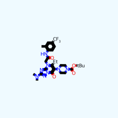 CCc1c(N2CCN(C(=O)OC(C)(C)C)CC2)c(=O)n2nc(N(C)C)nc2n1CC(=O)Nc1ccc(C(F)(F)F)cc1C